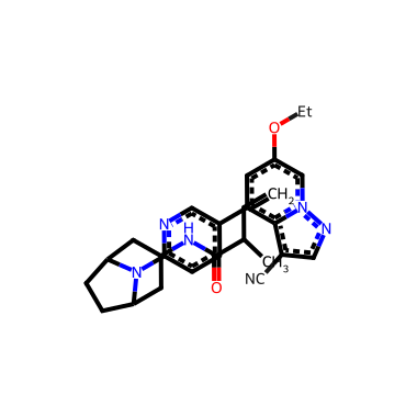 C=CC(C)C(=O)NC1CC2CCC(C1)N2c1ccc(-c2cc(OCC)cn3ncc(C#N)c23)cn1